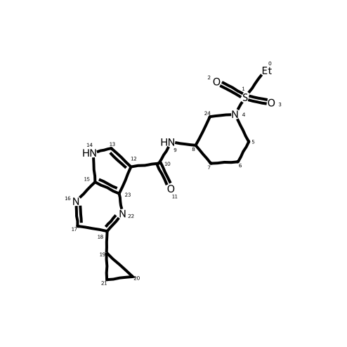 CCS(=O)(=O)N1CCCC(NC(=O)c2c[nH]c3ncc(C4CC4)nc23)C1